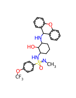 CN=S(=O)(NC1CCCC(NC2c3ccccc3Oc3ccccc32)C1O)c1ccc(OC(F)(F)F)cc1